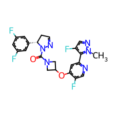 Cn1ncc(F)c1-c1cc(OC2CN(C(=O)N3N=CC[C@H]3c3cc(F)cc(F)c3)C2)c(F)cn1